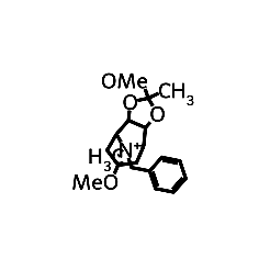 COC1CC2C3OC(C)(OC)OC3C(C1)[N+]2(C)Cc1ccccc1